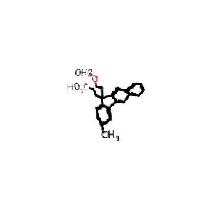 Cc1ccc2c(c1)-c1cc3ccccc3cc1C2(CCOC=O)CCC(=O)O